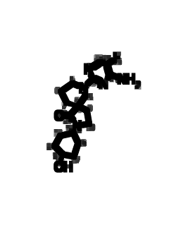 Nc1nc(N2CCC[C@]3(CCN([C@H]4CC[C@H](O)CC4)C3=O)C2)ncc1F